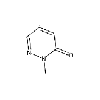 Cn1nc[c][c]c1=O